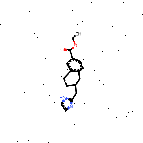 CCOC(=O)c1ccc2c(c1)CCC(Cc1ncc[nH]1)C2